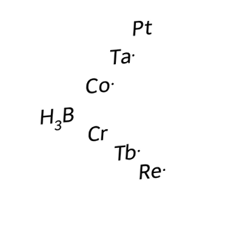 B.[Co].[Cr].[Pt].[Re].[Ta].[Tb]